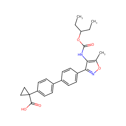 CCC(CC)OC(=O)Nc1c(-c2ccc(-c3ccc(C4(C(=O)O)CC4)cc3)cc2)noc1C